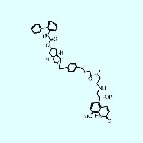 CN(CCNC[C@H](O)c1ccc(O)c2[nH]c(=O)ccc12)C(=O)CCOc1ccc(CN2C[C@H]3C[C@H](OC(=O)Nc4ccccc4-c4ccccc4)C[C@H]3C2)cc1